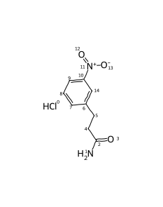 Cl.NC(=O)CCc1cccc([N+](=O)[O-])c1